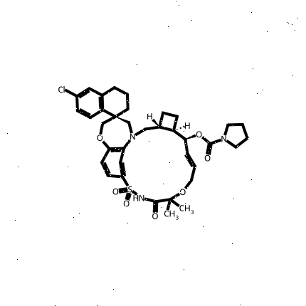 CC1(C)OC/C=C/[C@H](OC(=O)N2CCCC2)[C@@H]2CC[C@H]2CN2C[C@@]3(CCCc4cc(Cl)ccc43)COc3ccc(cc32)S(=O)(=O)NC1=O